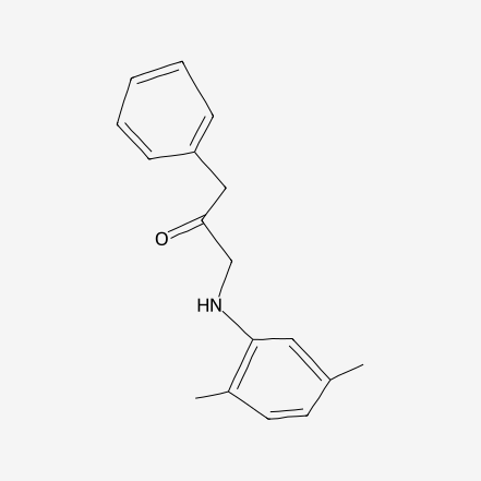 Cc1ccc(C)c(NCC(=O)Cc2ccccc2)c1